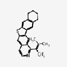 CC(C)=C(C)c1nccc2cc3sc4cc5c(cc4c3cc12)CCCC5